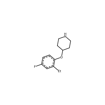 CCc1cc(F)ccc1OC1CCNCC1